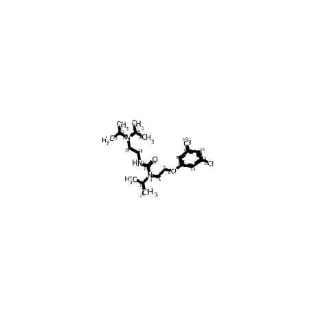 CC(C)N(CCOc1cc(Cl)cc(Cl)c1)C(=O)NCCN(C(C)C)C(C)C